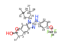 CC(Cc1ccc2c(c1)nc(Nc1ccc(OC(F)(F)F)cc1)n2C1CC(C)(C)CC(C)(C)C1)C(=O)O